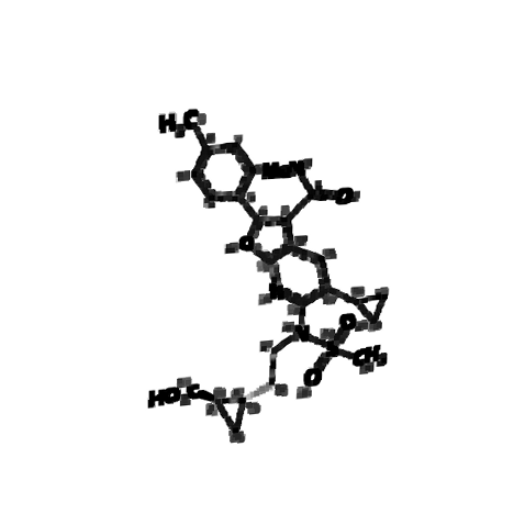 CNC(=O)c1c(-c2ccc(C)cc2)oc2nc(N(CC[C@@H]3C[C@H]3C(=O)O)S(C)(=O)=O)c(C3CC3)cc12